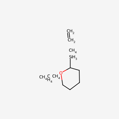 C.C.C.C.C=C.[SiH3]C1CCCCO1